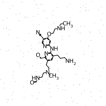 CCNCCOc1cc(Nc2nc(C=O)c(CCN(C)CCNC=O)cc2CCCN)ncc1C#N